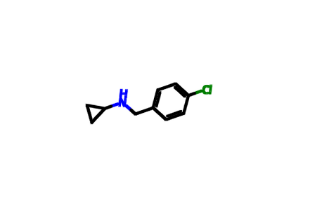 Clc1ccc(CNC2CC2)cc1